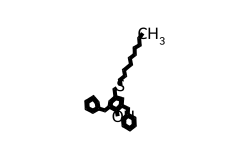 CCCCCCCCCCSCc1cc(Cc2ccccc2)c(O)c(Cc2ccccc2)c1